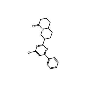 O=C1CCCC2CCC(c3nc(Cl)cc(-c4cccnc4)n3)CN12